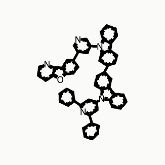 c1ccc(-c2cc(-n3c4ccccc4c4cc(-c5ccc6c7ccccc7n(-c7cncc(-c8ccc9oc%10cccnc%10c9c8)c7)c6c5)ccc43)cc(-c3ccccc3)n2)cc1